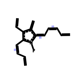 C=C/C=C\C=c1/c(=C)c(C=C)c(/C=C\C=C)n1F